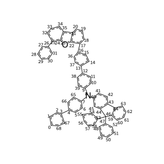 c1ccc(-c2ccc(N(c3ccc(-c4ccc(-c5cccc6c5oc5c(-c7ccccc7)cccc56)cc4)cc3)c3ccc4c(c3)C(c3ccccc3)(c3ccccc3)c3ccccc3-4)cc2)cc1